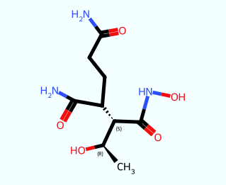 C[C@@H](O)[C@@H](C(=O)NO)C(CCC(N)=O)C(N)=O